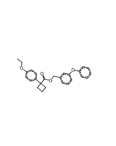 CCOc1ccc(C2(C(=O)OCc3cccc(Oc4ccccc4)c3)CCC2)cc1